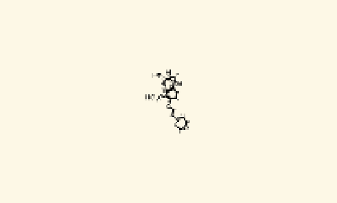 O=C(O)c1c(SCCN2CCOCC2)ccc2c1OB(O)[C@@H]1C[C@H]21